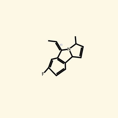 C/C=C1\c2cc(F)ccc2C2C=CC(C)N12